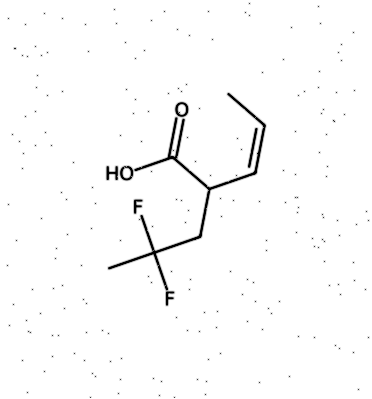 C/C=C\C(CC(C)(F)F)C(=O)O